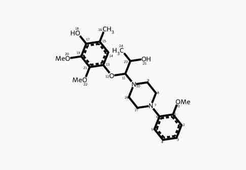 COc1ccccc1N1CCN(C(Oc2cc(C)c(O)c(OC)c2OC)C(C)O)CC1